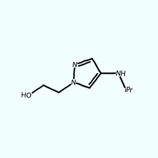 CC(C)Nc1cnn(CCO)c1